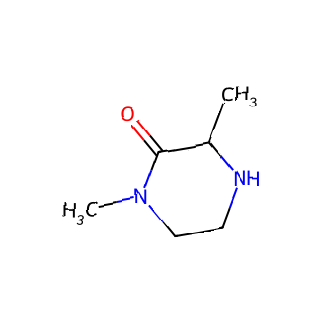 CC1NCCN(C)C1=O